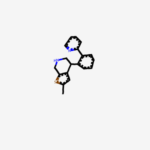 Cc1cc2c(s1)CNCC2c1ccccc1-c1ccccn1